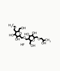 COCC1C(CO)OC(COCC2C(CO)OC(COCC(C)O)C(O)C2O)C(O)C1O.F